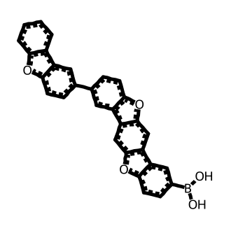 OB(O)c1ccc2oc3cc4c(cc3c2c1)oc1ccc(-c2ccc3oc5ccccc5c3c2)cc14